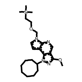 COc1nn(C2CCCCCCC2)c2c1cnc1c2ccn1COCC[Si](C)(C)C